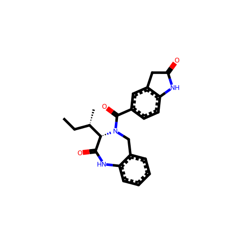 CC[C@H](C)[C@H]1C(=O)Nc2ccccc2CN1C(=O)c1ccc2c(c1)CC(=O)N2